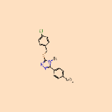 CCn1c(SCc2ccc(Cl)cc2)nnc1-c1ccc([N+](=O)[O-])cc1